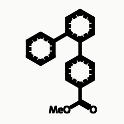 COC(=O)c1ccc(-c2ccccc2-c2ccccc2)cc1